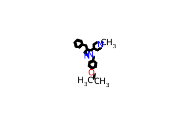 CC(C)COc1ccc(Cn2ncc(Cc3ccccc3)c2C2CCN(C)CC2)cc1